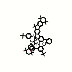 CC(C)(C)c1ccc(N2B3c4sc5cc6c(cc5c4N(c4ccc(C(C)(C)C)cc4-c4ccccc4)c4c3c(cc3c4oc4ccccc43)-c3cc4c(cc32)C(C)(C)c2cc3c(cc2-4)C(C)(C)CCC3(C)C)C(C)(C)CCC6(C)C)cc1